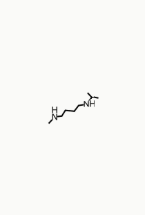 CNCCCCNC(C)C